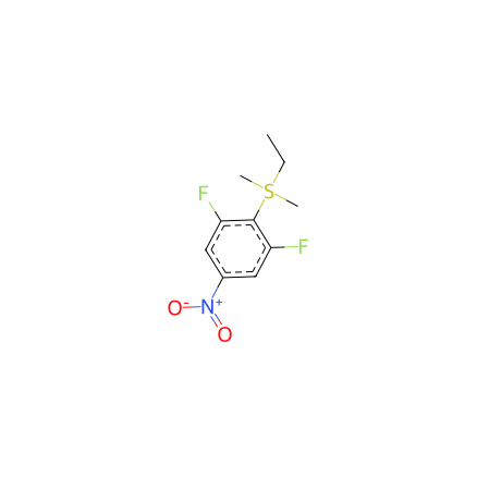 CCS(C)(C)c1c(F)cc([N+](=O)[O-])cc1F